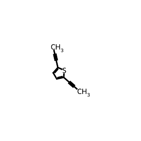 CC#Cc1ccc(C#CC)s1